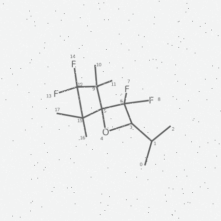 CC(C)C1OC2(C1(F)F)C(C)(C)C(F)(F)C2(C)C